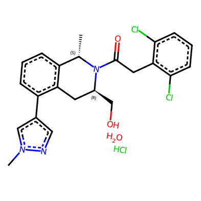 C[C@H]1c2cccc(-c3cnn(C)c3)c2C[C@H](CO)N1C(=O)Cc1c(Cl)cccc1Cl.Cl.O